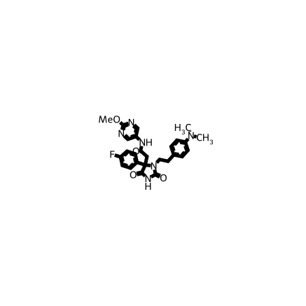 COc1ncc(NC(=O)CC2(c3ccc(F)cc3)C(=O)NC(=O)N2CCc2ccc(N(C)C)cc2)cn1